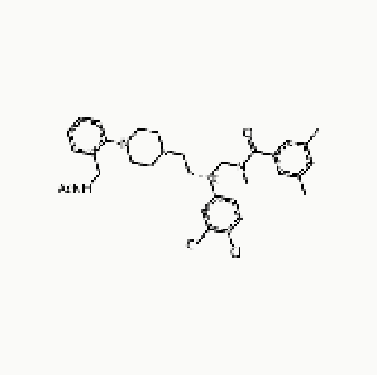 CC(=O)NCc1ccccc1N1CCN(CC[C@H](CN(C)C(=O)c2cc(C)cc(C)c2)c2ccc(Cl)c(Cl)c2)CC1